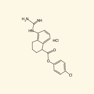 Cl.N=C(N)Nc1cccc2c1CCCC2C(=O)Oc1ccc(Cl)cc1